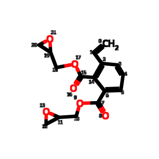 C=Cc1cccc(C(=O)OCC2CO2)c1C(=O)OCC1CO1